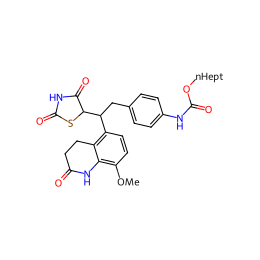 CCCCCCCOC(=O)Nc1ccc(CC(c2ccc(OC)c3c2CCC(=O)N3)C2SC(=O)NC2=O)cc1